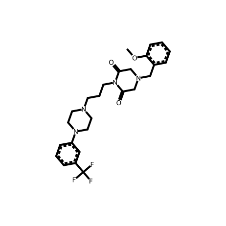 COc1ccccc1CN1CC(=O)N(CCCN2CCN(c3cccc(C(F)(F)F)c3)CC2)C(=O)C1